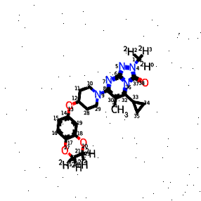 [2H]C([2H])([2H])n1nc2nc(N3CCC(Oc4ccc5c(c4)OC([2H])([2H])C([2H])([2H])O5)CC3)c(C)c(C3CC3)n2c1=O